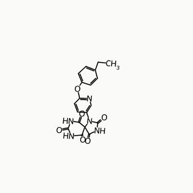 CCc1ccc(Oc2ccc(N3C(=O)NC(=O)C34C(=O)NC(=O)NC4=O)cn2)cc1